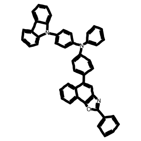 c1ccc(-c2nc3cc(-c4ccc(N(c5ccccc5)c5ccc(-n6c7ccccc7c7ccccc76)cc5)cc4)c4ccccc4c3o2)cc1